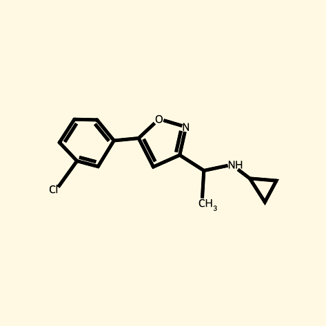 CC(NC1CC1)c1cc(-c2cccc(Cl)c2)on1